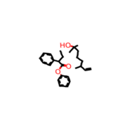 C=CC(C)CCCC(C)(C)O.CCC(C(=O)Oc1ccccc1)c1ccccc1